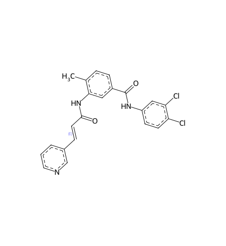 Cc1ccc(C(=O)Nc2ccc(Cl)c(Cl)c2)cc1NC(=O)/C=C/c1cccnc1